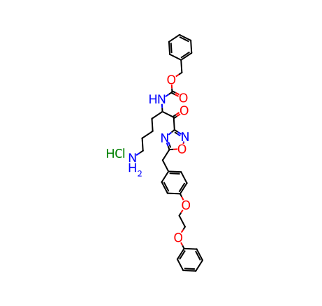 Cl.NCCCCC(NC(=O)OCc1ccccc1)C(=O)c1noc(Cc2ccc(OCCOc3ccccc3)cc2)n1